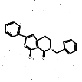 Cc1nc(-c2ccccc2)cc2c1C(=O)N(Cc1ccccc1)CC2